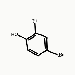 [3H]c1cc(C(C)(C)C)ccc1O